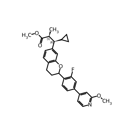 COC(=O)[C@@H](C)[C@H](c1ccc2c(c1)OC(c1ccc(-c3ccnc(OC)c3)cc1F)CC2)C1CC1